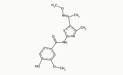 CON=C(C)c1sc(NC(=O)c2ccc(O)c(OC)c2)nc1C